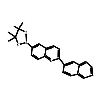 CC1(C)OB(c2ccc3nc(-c4ccc5ccccc5c4)ccc3c2)OC1(C)C